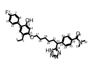 CCc1cc(-c2ccc(F)cc2)c(O)cc1OCCCCCC(c1ccc(C(=O)N(C)C)cc1)c1nnn[nH]1